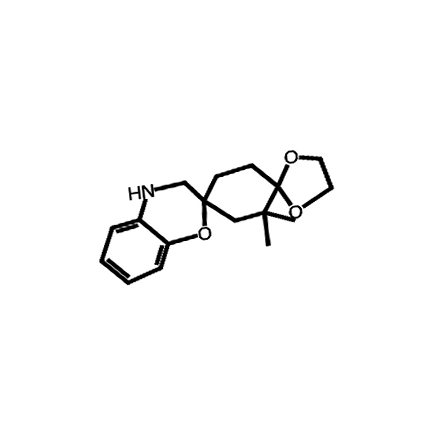 CC1(C)CC2(CCC13OCCO3)CNc1ccccc1O2